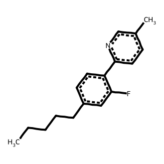 CCCCCc1ccc(-c2ccc(C)cn2)c(F)c1